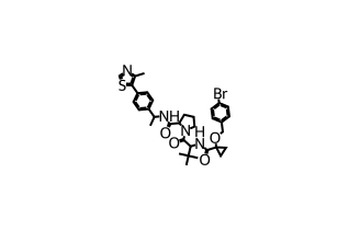 Cc1ncsc1-c1ccc(C(C)NC(=O)C2CCCN2C(=O)C(NC(=O)C2(OCc3ccc(Br)cc3)CC2)C(C)(C)C)cc1